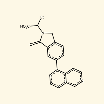 CCC(C(=O)O)N1Cc2ccc(-c3cccc4cnccc34)cc2C1=O